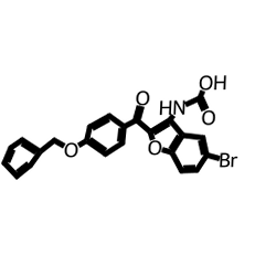 O=C(O)Nc1c(C(=O)c2ccc(OCc3ccccc3)cc2)oc2ccc(Br)cc12